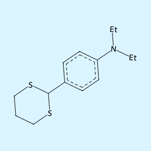 CCN(CC)c1ccc(C2SCCCS2)cc1